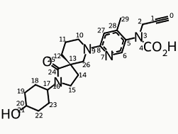 C#CCN(C(=O)O)c1cnc(N2CCC[C@]3(CCN(C4CCC(O)CC4)C3=O)C2)cc1C